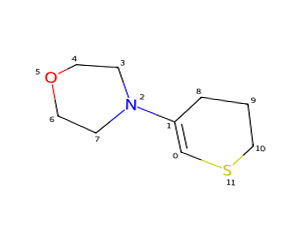 C1=C(N2CCOCC2)CCCS1